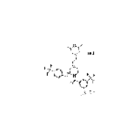 CSc1cc(C(=O)N2CCN(CCN3CC(C)OC(C)C3)C[C@H]2Cc2ccc(C(F)(F)F)cc2)cc(C(F)(F)F)c1.Cl.Cl